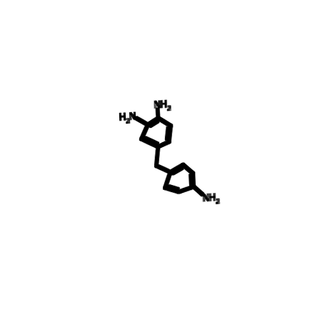 Nc1ccc(Cc2ccc(N)c(N)c2)cc1